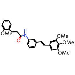 COc1ccccc1/C=C/C(=O)Nc1cccc(/C=C/c2cc(OC)c(OC)c(OC)c2)c1